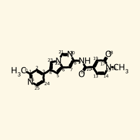 Cc1cc(-c2cc3cc(NC(=O)c4ccn(C)c(=O)c4)ncn3c2)ccn1